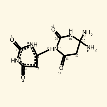 Cc1cc(=O)[nH]c(=O)[nH]1.NC1(N)CC(=O)NC(=O)N1